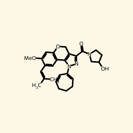 COc1cc2c(cc1C=C(C)C)-c1c(c(C(=O)N3CCC(O)C3)nn1C1=CCCCC=C1)CO2